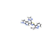 Cc1nn2ccccc2c1-c1nc(-c2cnc3[nH]ccc3c2)c(C2=NCC=N2)s1